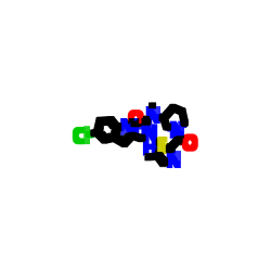 Cc1cnc(C(=O)N2CCCC(N(C)C(=O)NCc3cc4cc(Cl)ccc4[nH]3)C2)s1